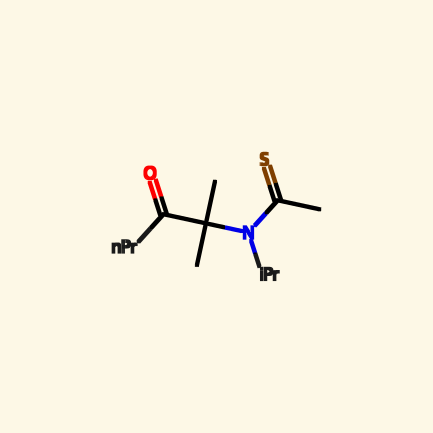 CCCC(=O)C(C)(C)N(C(C)=S)C(C)C